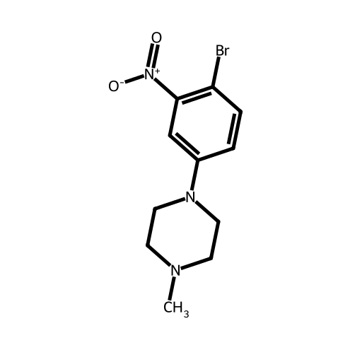 CN1CCN(c2ccc(Br)c([N+](=O)[O-])c2)CC1